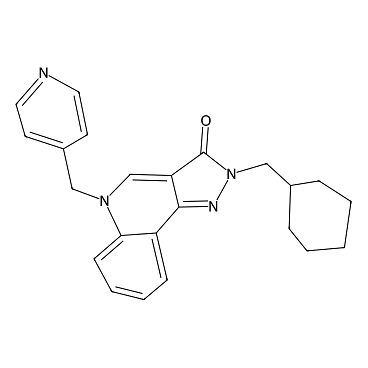 O=c1c2cn(Cc3ccncc3)c3ccccc3c-2nn1CC1CCCCC1